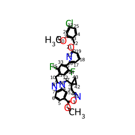 COC(=O)c1ccc2nc(Cc3cc(F)c(-c4cccc(OCc5ccc(Cl)cc5OC)n4)cc3F)n(CC3(CC#N)CC3)c2c1